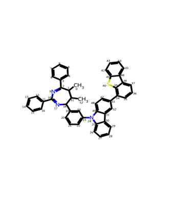 CC1C(c2ccccc2)=NC(c2ccccc2)=NC(c2cccc(-n3c4ccccc4c4cc(-c5cccc6c5sc5ccccc56)ccc43)c2)C1C